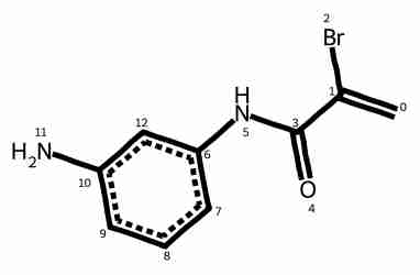 C=C(Br)C(=O)Nc1cccc(N)c1